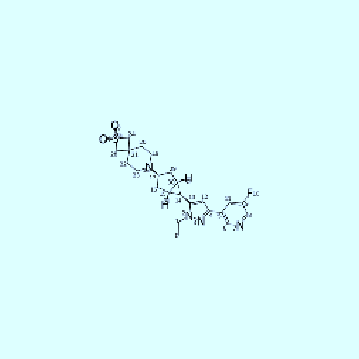 CCn1nc(-c2cncc(F)c2)cc1[C@H]1[C@@H]2C[C@@H](N3CCC4(CC3)CS(=O)(=O)C4)C[C@@H]21